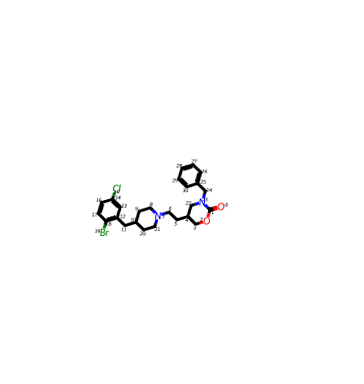 O=C1OCC(CCN2CCC(Cc3cc(Cl)ccc3Br)CC2)CN1Cc1ccccc1